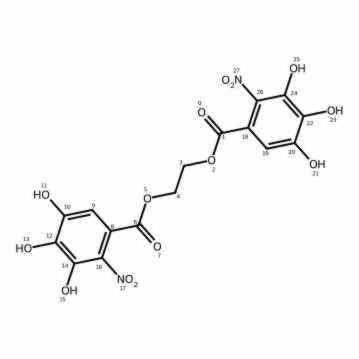 O=C(OCCOC(=O)c1cc(O)c(O)c(O)c1[N+](=O)[O-])c1cc(O)c(O)c(O)c1[N+](=O)[O-]